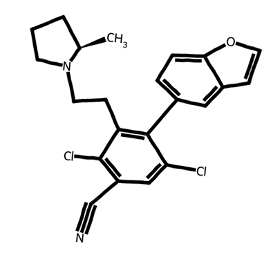 C[C@@H]1CCCN1CCc1c(Cl)c(C#N)cc(Cl)c1-c1ccc2occc2c1